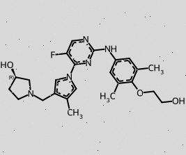 Cc1cn(-c2nc(Nc3cc(C)c(OCCO)c(C)c3)ncc2F)cc1CN1CC[C@@H](O)C1